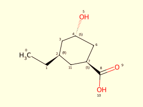 CC[C@H]1C[C@H](O)C[C@@H](C(=O)O)C1